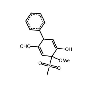 COC1(S(C)(=O)=O)C=C(C=O)C(c2ccccc2)C=C1O